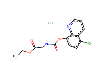 CCOC(=O)CNC(=O)Oc1ccc(Cl)c2cccnc12.Cl